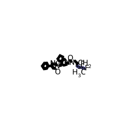 C=C(/C=C\C(F)=C(/C)F)CNC(=O)N1CC[C@@](O)(Cn2cnc(-c3ccccc3)cc2=O)C2(CCCC2)C1